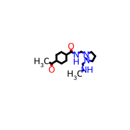 CNCN1CCCN1CNC(=O)C1CCC(C(C)=O)CC1